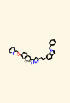 COc1cc(OCc2ccccn2)ccc1C=Cc1cc(C=Cc2ccc3ccn(Cc4ccccc4)c3c2)n[nH]1